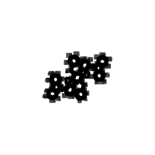 c1ccc(Cc2c3oc4c(-n5c6ccccc6c6ccccc65)cccc4c3c(Cc3ccccc3)c3oc4c(-n5c6ccccc6c6ccccc65)cccc4c23)cc1